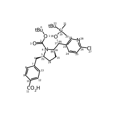 CC(C)(C)OC(=O)N1[C@H](Cc2ccc(C(=O)O)cc2)CC[C@@H]1[C@H](O[Si](C)(C)C(C)(C)C)c1ccc(Cl)nc1